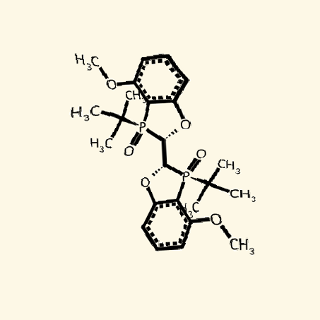 COc1cccc2c1[P@](=O)(C(C)(C)C)[C@@H]([C@H]1Oc3cccc(OC)c3[P@]1(=O)C(C)(C)C)O2